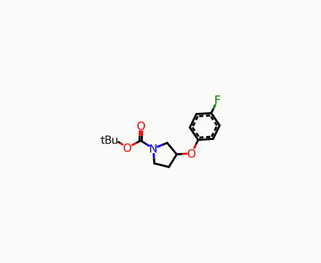 CC(C)(C)OC(=O)N1CCC(Oc2ccc(F)cc2)C1